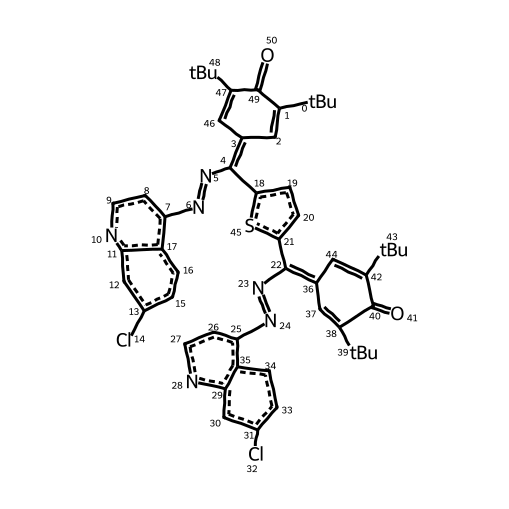 CC(C)(C)C1=CC(=C(/N=N/c2ccnc3cc(Cl)ccc23)c2ccc(C(/N=N/c3ccnc4cc(Cl)ccc34)=C3C=C(C(C)(C)C)C(=O)C(C(C)(C)C)=C3)s2)C=C(C(C)(C)C)C1=O